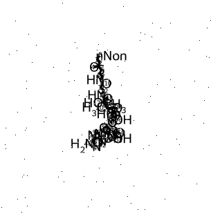 CCCCCCCCC/C=C/C(=O)SCCNC(=O)CCNC(=O)C(O)C(C)(C)COP(=O)(O)OP(=O)(O)OC[C@H]1O[C@@H](n2cnc3c(N)ncnc32)[C@H](O)[C@@H]1OP(=O)(O)O